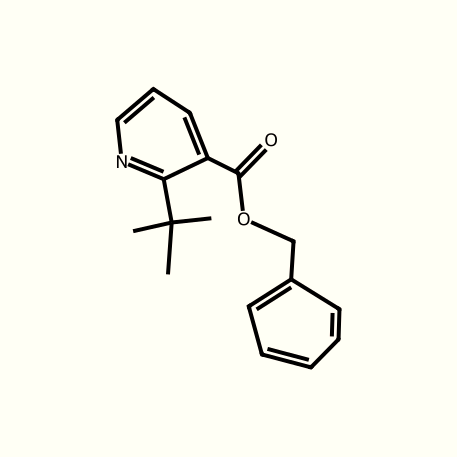 CC(C)(C)c1ncccc1C(=O)OCc1ccccc1